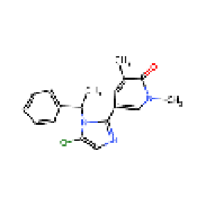 Cc1cc(-c2ncc(Cl)n2C(C)c2ccccc2)cn(C)c1=O